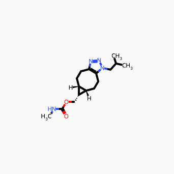 CNC(=O)OC[C@@H]1[C@@H]2CCc3nnn(CC(C)C)c3CC[C@@H]21